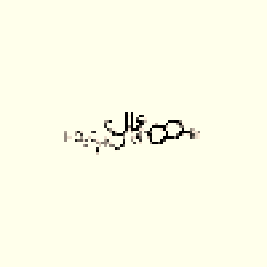 C[C@H](C(=O)O)N1CCC(NS(=O)(=O)c2ccc3cc(Br)ccc3c2)C1=O